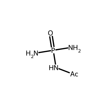 CC(=O)NP(N)(N)=O